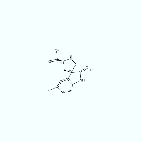 Cl.O=C(O)[C@@H]1C[C@@]2(CN1)C(=O)Nc1ccc(Cl)cc12